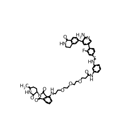 C=C1CCC(N2C(=O)c3cccc(NCCOCCOCCOCCC(=O)Nc4cccc(NSc5ccc(-c6cnc(N)c(-c7ccc8c(c7)CCNC8=O)c6)c(F)c5)c4)c3C2=O)C(=O)N1